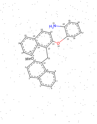 COc1ccc2ccccc2c1Cc1c(Oc2ccccc2N)ccc2ccccc12